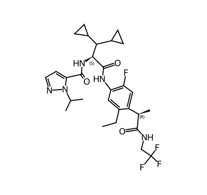 CCc1cc(NC(=O)[C@@H](NC(=O)c2ccnn2C(C)C)C(C2CC2)C2CC2)c(F)cc1[C@@H](C)C(=O)NCC(F)(F)F